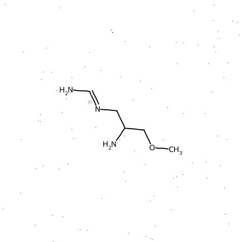 COCC(N)C/N=C/N